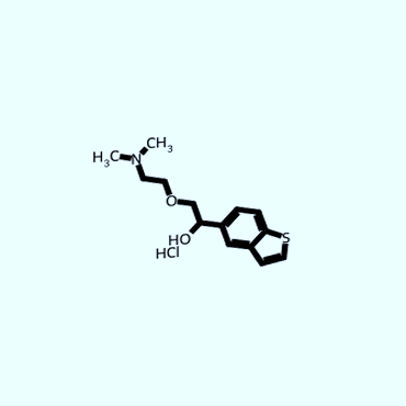 CN(C)CCOCC(O)c1ccc2sccc2c1.Cl